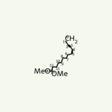 C=CC#C/C=C\CCCCCCCC(OC)OC